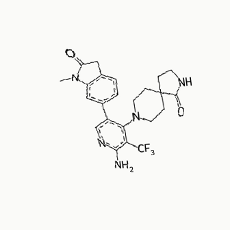 CN1C(=O)Cc2ccc(-c3cnc(N)c(C(F)(F)F)c3N3CCC4(CCNC4=O)CC3)cc21